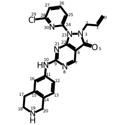 C=CCn1c(=O)c2cnc(Nc3ccc4c(c3)CCNC4)nc2n1-c1cccc(Cl)n1